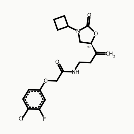 C=C(CCNC(=O)COc1ccc(Cl)c(F)c1)[C@H]1CN(C2CCC2)C(=O)O1